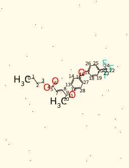 CCCCOC(=O)/C=C/C(C)Oc1ccc(Oc2ccc(C(F)(F)F)cc2)cc1